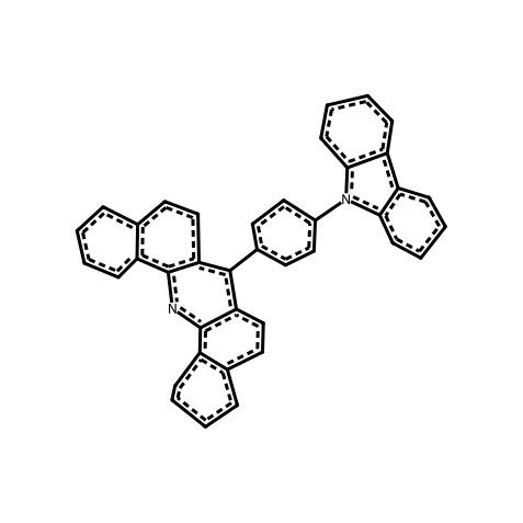 c1ccc2c(c1)ccc1c(-c3ccc(-n4c5ccccc5c5ccccc54)cc3)c3ccc4ccccc4c3nc12